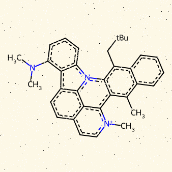 Cc1c2ccccc2c(CC(C)(C)C)c2c1c1c3c(ccc4c5c(N(C)C)cccc5n2c43)cc[n+]1C